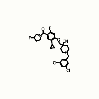 N#CC1(COc2cc(F)c(C(=O)N3CCC(F)C3)cc2C2CC2)CCN(Cc2cc(Cl)cc(Cl)c2)CC1